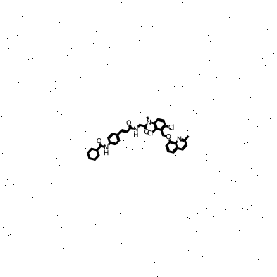 Cc1ccc2cccc(OCc3c(Cl)ccc(N(C)C(=O)CNC(=O)C=Cc4ccc(NC(=O)C5CCCCC5)cc4)c3Cl)c2n1